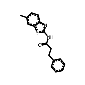 Cc1ccc2nc(NC(=O)CCc3ccccc3)sc2c1